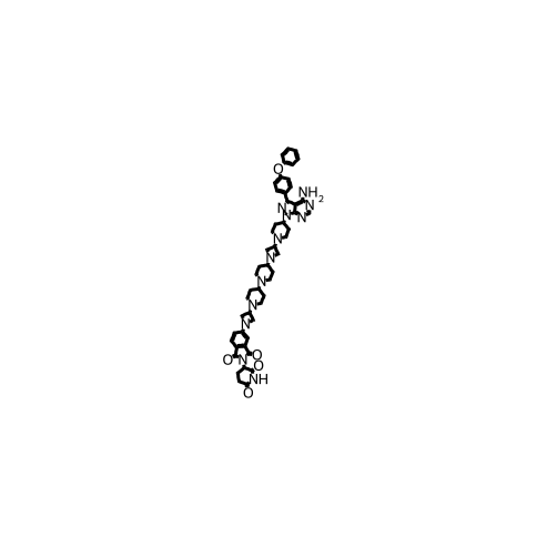 Nc1ncnc2c1c(-c1ccc(Oc3ccccc3)cc1)nn2C1CCN(C2CN(C3CCN(C4CCN(C5CN(c6ccc7c(c6)C(=O)N(C6CCC(=O)NC6=O)C7=O)C5)CC4)CC3)C2)CC1